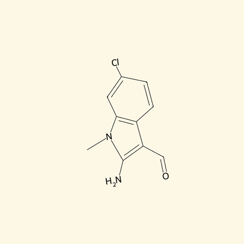 Cn1c(N)c(C=O)c2ccc(Cl)cc21